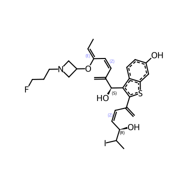 C=C(/C=C\[C@@H](O)C(C)I)c1sc2cc(O)ccc2c1[C@@H](O)C(=C)/C=C\C(=C/C)OC1CN(CCCF)C1